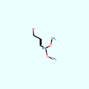 CO[SiH](C=CCBr)OC